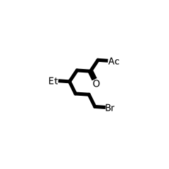 CCC(CCCBr)CC(=O)CC(C)=O